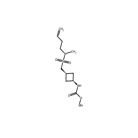 C=CCCN(C)S(=O)(=O)C[C@H]1C[C@@H](NC(=O)OC(C)(C)C)C1